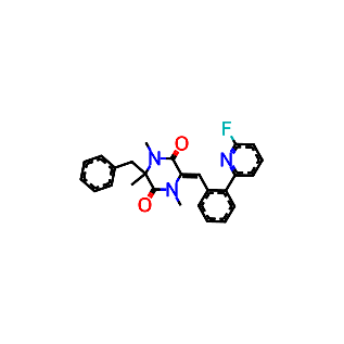 CN1C(=O)C(C)(Cc2ccccc2)N(C)C(=O)/C1=C/c1ccccc1-c1cccc(F)n1